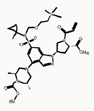 C=CC(=O)N1C[C@H](n2ncc3c(N4C[C@H](C)N(C(=O)OC(C)(C)C)[C@@H](C)C4)cc(S(=O)(=O)N(COCC[Si](C)(C)C)C4(C)CC4)cc32)C[C@H]1C(=O)OC